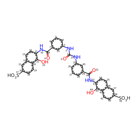 O=C(Nc1cccc(C(=O)Nc2ccc3cc(S(=O)(=O)O)ccc3c2O)c1)Nc1cccc(C(=O)Nc2ccc3cc(S(=O)(=O)O)ccc3c2O)c1